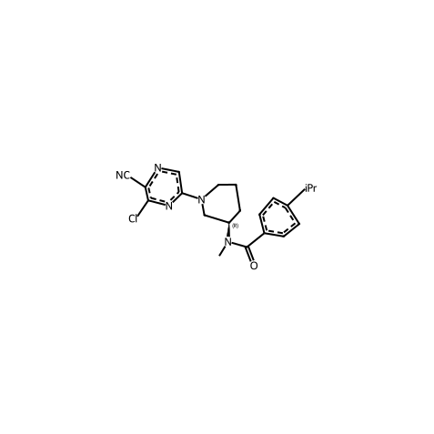 CC(C)c1ccc(C(=O)N(C)[C@@H]2CCCN(c3cnc(C#N)c(Cl)n3)C2)cc1